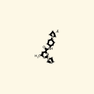 Cc1cc(C(=O)NC2CCC(N3CC[C@H](F)C3)CC2)nc(-n2ccnc2)n1